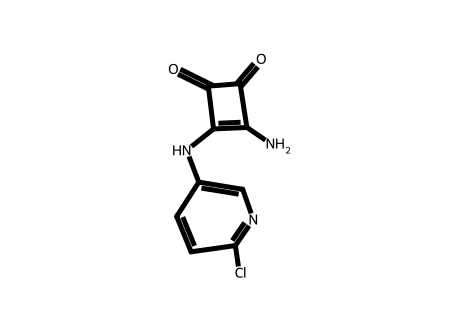 Nc1c(Nc2ccc(Cl)nc2)c(=O)c1=O